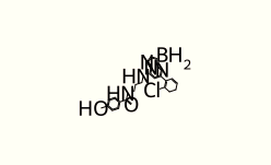 Bc1cnn2c(NCCCNC(=O)c3ccc(O)cc3)cc(C3=C(Cl)CCC=C3)nc12